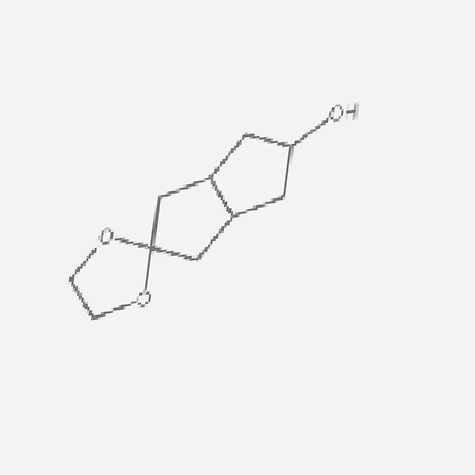 OC1CC2CC3(CC2C1)OCCO3